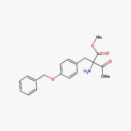 COC(=O)C(N)(Cc1ccc(OCc2ccccc2)cc1)C(=O)OC(C)(C)C